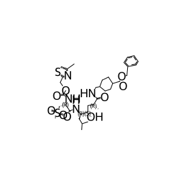 Cc1csc(COC(=O)N[C@@H](CS(C)(=O)=O)C(=O)N[C@H](CC(C)C)[C@@H](O)C[C@@H](C)C(=O)NCC2CCC(C(=O)OCc3ccccc3)CC2)n1